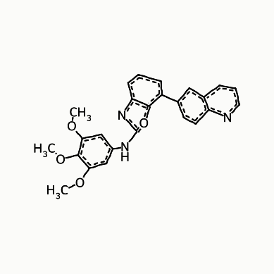 COc1cc(Nc2nc3cccc(-c4ccc5ncccc5c4)c3o2)cc(OC)c1OC